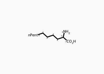 CCCCCCCCCC(N)C(=O)O